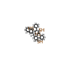 CC(c1ccc(S)c(-c2ccccc2S)c1)(c1ccc(S)c(-c2ccccc2S)c1)c1ccc2ccccc2c1